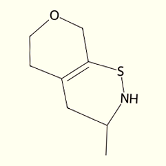 CC1CC2=C(COCC2)SN1